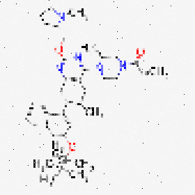 C=CC(=O)N1CCN(c2nc(OC[C@@H]3CCCN3C)nc3c2CC(C)C(c2cc(O[Si](C)(C)C(C)(C)C)cc4ccccc24)C3)[C@@H](C)C1